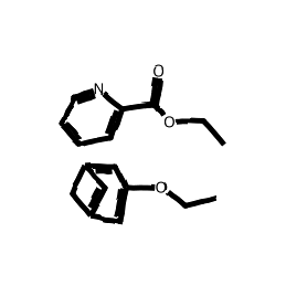 CCOC(=O)c1ccccn1.CCOc1cc2cc(c1)C2